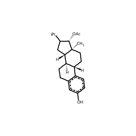 CC(=O)O[C@H]1C(C(C)C)C[C@H]2[C@@H]3CCc4cc(O)ccc4[C@H]3CC[C@]12C